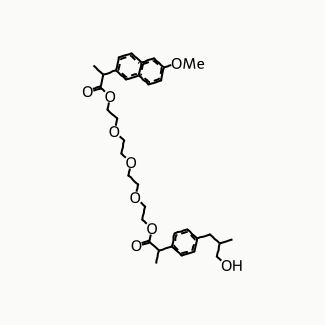 COc1ccc2cc(C(C)C(=O)OCCOCCOCCOCCOC(=O)C(C)c3ccc(CC(C)CO)cc3)ccc2c1